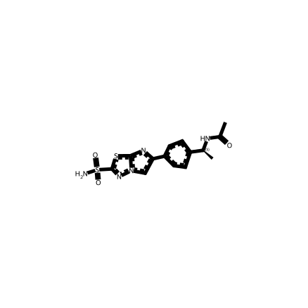 CC(=O)N[C@@H](C)c1ccc(-c2cn3nc(S(N)(=O)=O)sc3n2)cc1